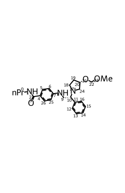 CCCNC(=O)c1ccc(NC[C@@H](c2ccccc2)N2CC[C@H](OCOC)C2)cc1